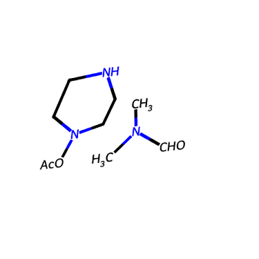 CC(=O)ON1CCNCC1.CN(C)C=O